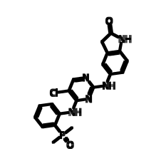 CP(C)(=O)c1ccccc1Nc1nc(Nc2ccc3c(c2)CC(=O)N3)ncc1Cl